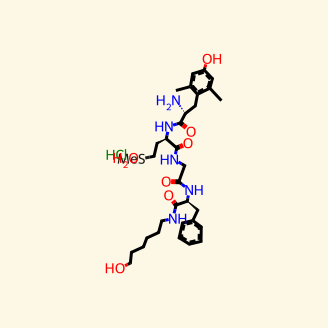 CSCC[C@@H](NC(=O)[C@H](N)Cc1c(C)cc(O)cc1C)C(=O)NCC(=O)N[C@@H](Cc1ccccc1)C(=O)NCCCCCCO.Cl.O